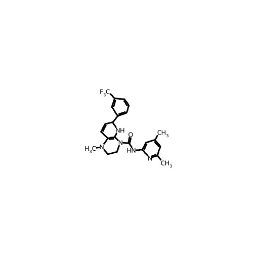 Cc1cc(C)nc(NC(=O)N2CCN(C)C3=C2NC(c2cccc(C(F)(F)F)c2)C=C3)c1